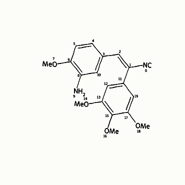 [C-]#[N+]/C(=C/c1ccc(OC)c(N)c1)c1cc(OC)c(OC)c(OC)c1